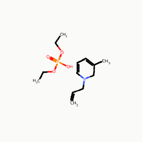 C=CCN1C=CC=C(C)C1.CCOP(=O)(O)OCC